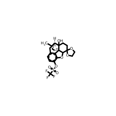 CN1CC[C@@]23c4c5ccc(OS(=O)(=O)C(F)(F)F)c4OC2C2(CCC3(O)[C@@H]1C5)OCCO2